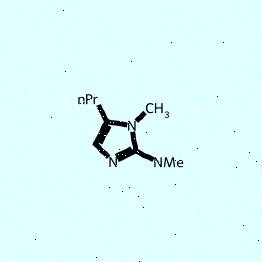 CCCc1cnc(NC)n1C